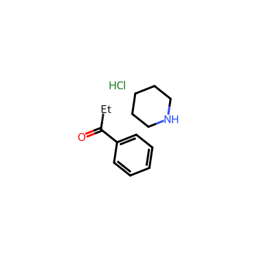 C1CCNCC1.CCC(=O)c1ccccc1.Cl